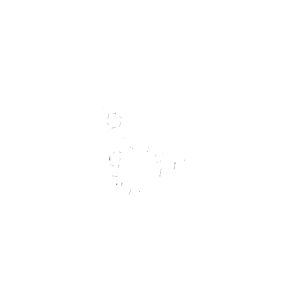 CC1(C)OCC=C[C@H](OC(=O)NCC2CC2)[C@@H]2CC[C@H]2CN2C[C@@]3(CCCc4cc(Cl)ccc43)COc3ccc(cc32)S(=O)(=O)NC1=O